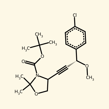 CO[C@H](C#CC1COC(C)(C)N1C(=O)OC(C)(C)C)c1ccc(Cl)cc1